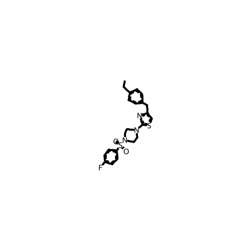 CCc1ccc(Cc2csc(N3CCN(S(=O)(=O)c4ccc(F)cc4)CC3)n2)cc1